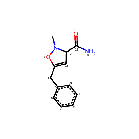 CN1OC(Cc2ccccc2)=CC1C(N)=O